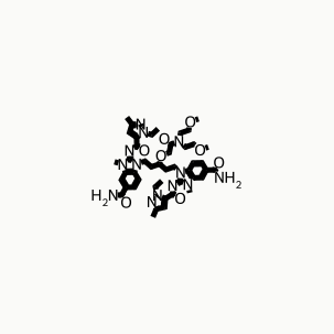 CCn1nc(C)cc1C(=O)N=c1n(C)c2cc(C(N)=O)ccc2n1CCC(CCn1c(=NC(=O)c2cc(C)nn2CC)n(C)c2cc(C(N)=O)ccc21)OCC(=O)N(CCOC)CCOC